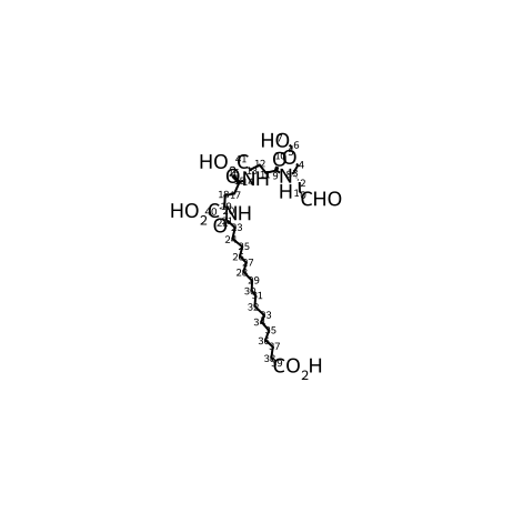 O=CCC[C@@H](COCO)NC(=O)CC[C@H](NC(=O)CC[C@H](NC(=O)CCCCCCCCCCCCCCCCC(=O)O)C(=O)O)C(=O)O